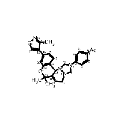 CC(=O)c1ccc(N2CN3CC=C4C(c5ccc(-c6conc6C)cc5OC4(C)C)N3C2)cc1